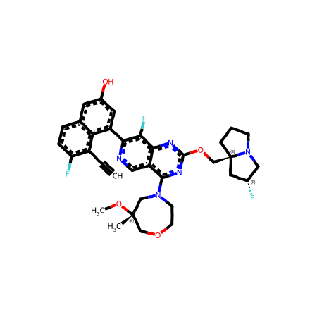 C#Cc1c(F)ccc2cc(O)cc(-c3ncc4c(N5CCOC[C@](C)(OC)C5)nc(OC[C@@]56CCCN5C[C@H](F)C6)nc4c3F)c12